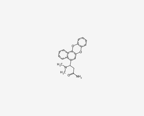 CN(C)C(CC(N)=O)c1cc2c(c3ccccc13)Oc1ccccc1O2